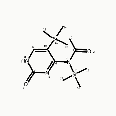 CC(=O)N(c1nc(=O)[nH]cc1[Si](C)(C)C)[Si](C)(C)C